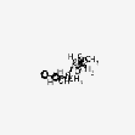 COCC(C)(COC)C(=O)N(C)CCCN(C)CC[C@]1(O)C[C@H]2CC[C@@H]1C=C2c1ccccc1